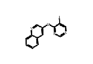 Ic1cncnc1Oc1cnc2ccccc2c1